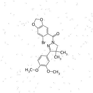 COc1ccc(C2=NN(C(=O)c3cc4c(cc3Br)OCO4)CC2(C)C)cc1OC